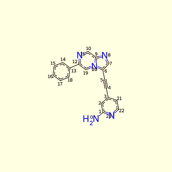 Nc1cc(C#Cc2cnc3cnc(-c4cc[c]cc4)cn23)ccn1